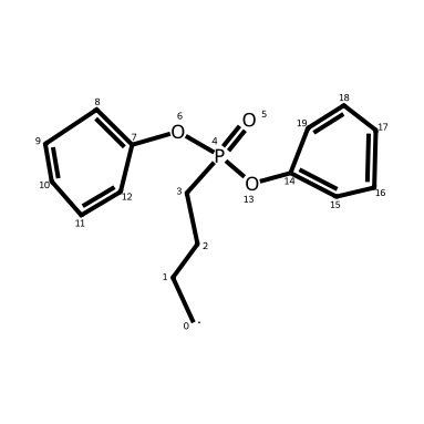 [CH2]CCCP(=O)(Oc1ccccc1)Oc1ccccc1